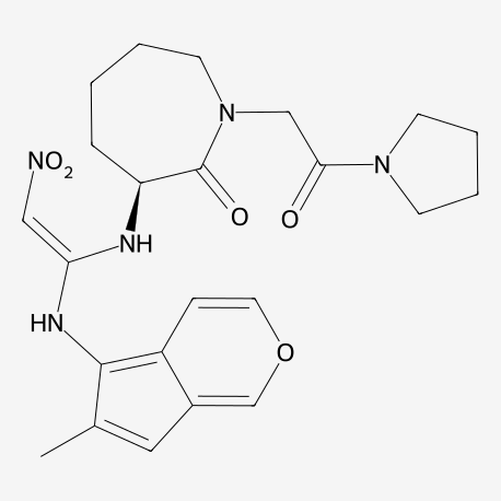 Cc1cc2coccc-2c1NC(=C[N+](=O)[O-])N[C@H]1CCCCN(CC(=O)N2CCCC2)C1=O